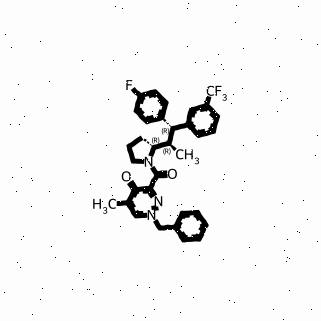 Cc1cn(Cc2ccccc2)nc(C(=O)N2CCC[C@@H]2[C@H](C)[C@H](c2ccc(F)cc2)c2cccc(C(F)(F)F)c2)c1=O